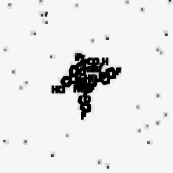 CCCCC(=O)N(Cc1ccc(-c2ccccc2-c2nn[nH]n2)cc1)[C@H](C(=O)O)C(C)C.Cl.O[C@@H](CNC[C@H](O)[C@H]1CCc2cc(F)ccc2O1)[C@@H]1CCc2cc(F)ccc2O1